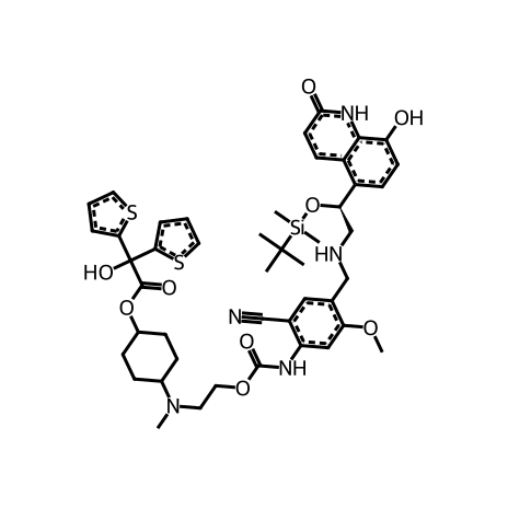 COc1cc(NC(=O)OCCN(C)C2CCC(OC(=O)C(O)(c3cccs3)c3cccs3)CC2)c(C#N)cc1CNC[C@@H](O[Si](C)(C)C(C)(C)C)c1ccc(O)c2[nH]c(=O)ccc12